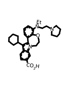 CCN(CCN1CCCCC1)c1cccc2c1OCCn1c-2c(C2CCCCC2)c2ccc(C(=O)O)cc21